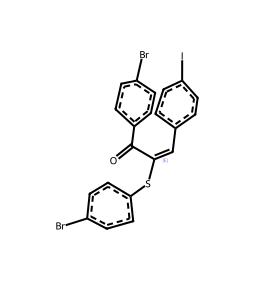 O=C(/C(=C\c1ccc(I)cc1)Sc1ccc(Br)cc1)c1ccc(Br)cc1